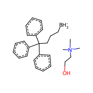 C[N+](C)(C)CCO.[BH3-]CCCC(c1ccccc1)(c1ccccc1)c1ccccc1